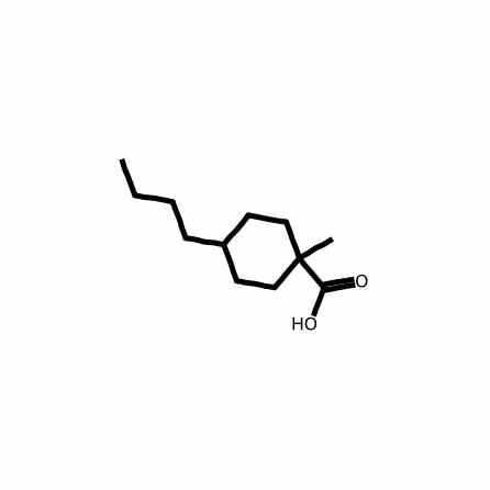 CCCCC1CCC(C)(C(=O)O)CC1